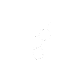 Oc1c[c]c(-c2ccncc2)c(F)c1